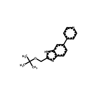 CC(C)(C)OCc1nc2ccc(-c3ccncc3)cc2[nH]1